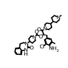 Cc1cc(C[C@@H](OC(=O)N2CCC(N3CCc4ccccc4NC3=O)CC2)C(=O)N2CCC(C3CCN(C)CC3)CC2)cc(Cl)c1N